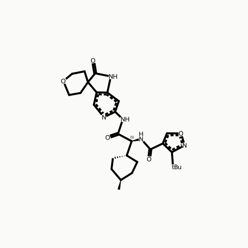 CC(C)(C)c1nocc1C(=O)N[C@H](C(=O)Nc1cc2c(cn1)C1(CCOCC1)C(=O)N2)[C@H]1CC[C@H](C)CC1